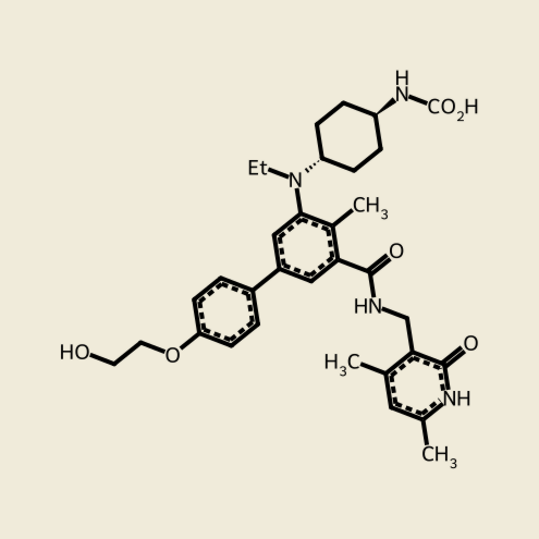 CCN(c1cc(-c2ccc(OCCO)cc2)cc(C(=O)NCc2c(C)cc(C)[nH]c2=O)c1C)[C@H]1CC[C@H](NC(=O)O)CC1